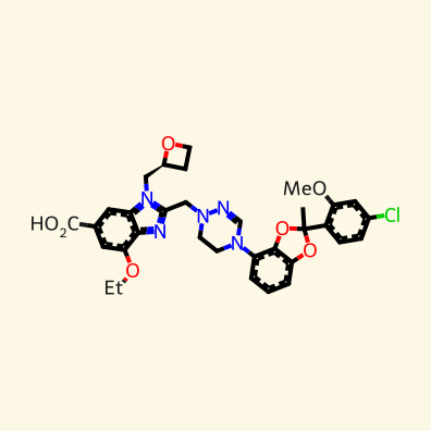 CCOc1cc(C(=O)O)cc2c1nc(CN1CCN(c3cccc4c3OC(C)(c3ccc(Cl)cc3OC)O4)C=N1)n2C[C@@H]1CCO1